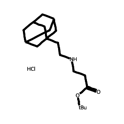 CC(C)(C)OC(=O)CCNCCC12CC3CC(CC(C3)C1)C2.Cl